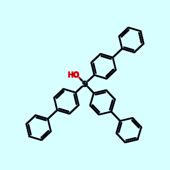 O[Si](c1ccc(-c2ccccc2)cc1)(c1ccc(-c2ccccc2)cc1)c1ccc(-c2ccccc2)cc1